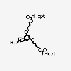 CCCCCCCC(=O)OCCCCOc1cc(CN(C)C)cc(OCCCCOC(=O)CCCCCCC)c1